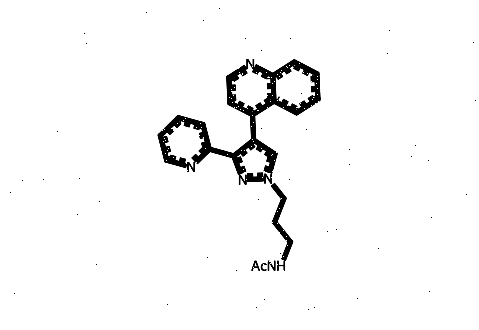 CC(=O)NCCCn1cc(-c2ccnc3ccccc23)c(-c2ccccn2)n1